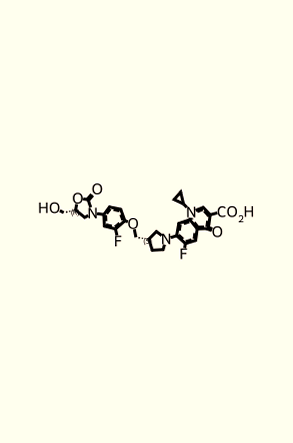 O=C(O)c1cn(C2CC2)c2cc(N3CC[C@H](COc4ccc(N5C[C@H](CO)OC5=O)cc4F)C3)c(F)cc2c1=O